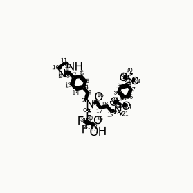 CN(CCc1ccc(C2=NCCN2)cc1)C(=O)CCCN(C)S(=O)(=O)c1ccc(S(C)(=O)=O)cc1.O=C(O)C(F)(F)F